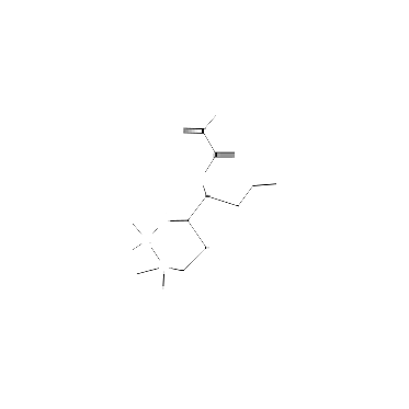 C=C(C)C(=O)OC(CCC)C1CC[Si](C)(C)[Si](C)(C)O1